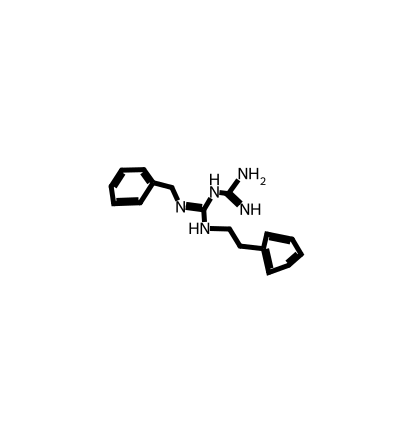 N=C(N)NC(=NCc1ccccc1)NCCc1ccccc1